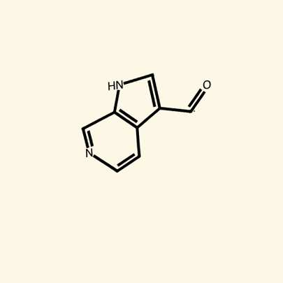 O=[C]c1c[nH]c2cnccc12